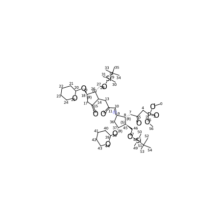 COP(=O)(CC(=O)C[C@H]1/C(=C/C(=O)CC2C(=O)C[C@@H](OC3CCCCO3)[C@@H]2CO[Si](C)(C)C(C)(C)C)C[C@@H](OC2CCCCO2)[C@@H]1CO[Si](C)(C)C(C)(C)C)OC